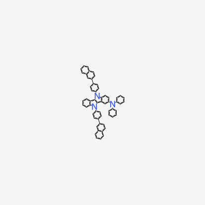 c1ccc(N(c2ccccc2)c2ccc3c(c2)c2c(c4ccccc4n2-c2ccc(-c4ccc5ccccc5c4)cc2)n3-c2ccc(-c3ccc4ccccc4c3)cc2)cc1